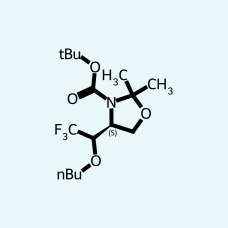 CCCCOC([C@@H]1COC(C)(C)N1C(=O)OC(C)(C)C)C(F)(F)F